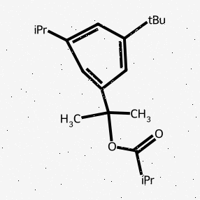 CC(C)C(=O)OC(C)(C)c1cc(C(C)C)cc(C(C)(C)C)c1